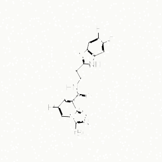 CC(C)(C)c1nnc2c(C(=O)NCCc3nc4cc(F)c(F)cc4[nH]3)cc(F)cn12